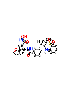 CC1(C)CN(Cc2ccc(C(=O)N[C@@H]3C[C@@]4(CCCO4)C[C@@H]3C(=O)NO)cc2)c2ccccc2S1(=O)=O